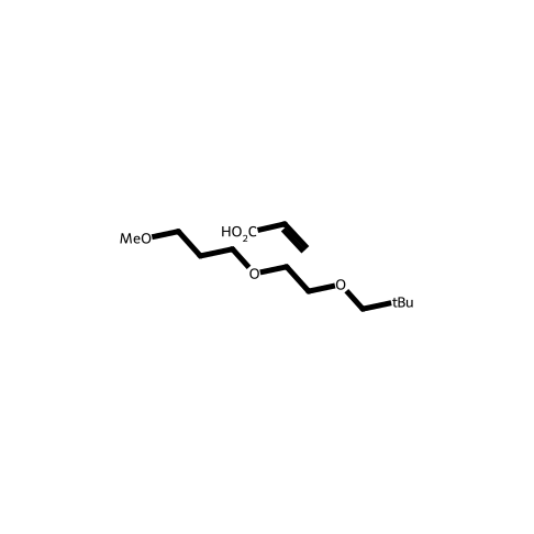 C=CC(=O)O.COCCCOCCOCC(C)(C)C